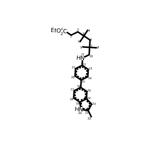 CCOC(=O)CCC(C)(C)CC(C)(C)CNc1ccc(-c2ccc3[nH]c(C)cc3c2)cc1